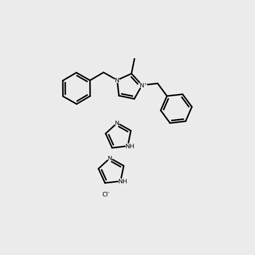 Cc1n(Cc2ccccc2)cc[n+]1Cc1ccccc1.[Cl-].c1c[nH]cn1.c1c[nH]cn1